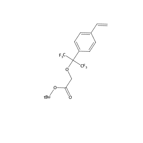 C=Cc1ccc(C(OCC(=O)OC(C)(C)C)(C(F)(F)F)C(F)(F)F)cc1